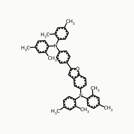 Cc1ccc(N(c2ccc(-c3cc4cc(N(c5ccc(C)cc5C)c5ccc(C)cc5C)ccc4o3)cc2)c2ccc(C)cc2C)c(C)c1